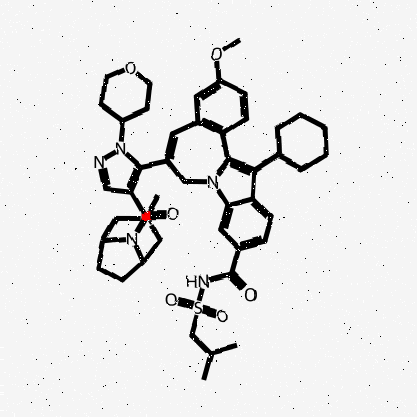 COc1ccc2c(c1)C=C(c1c(C(=O)N3C4CCC3CN(C)C4)cnn1C1CCOCC1)Cn1c-2c(C2CCCCC2)c2ccc(C(=O)NS(=O)(=O)CC(C)C)cc21